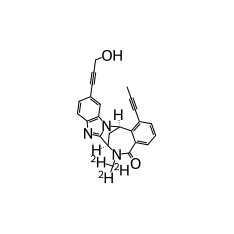 [2H]C([2H])([2H])N1C(=O)c2cccc(C#CC)c2[C@H]2C[C@@H]1c1nc3ccc(C#CCO)cc3n12